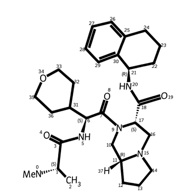 CN[C@@H](C)C(=O)N[C@H](C(=O)N1C[C@H]2CCCN2C[C@H]1C(=O)N[C@@H]1CCCc2ccccc21)C1CCOCC1